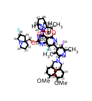 COc1ccc(CN(Cc2ccc(OC)cc2)c2nc(C)c(I)c(-c3nc4c5c(nc(OC[C@@]67CCCN6C[C@H](F)C7)nc5c3F)N3C[C@H]5CC[C@@H]([C@H]3[C@H](C)O4)N5C(=O)OC(C)(C)C)c2C)cc1